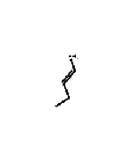 B/C=C/CC